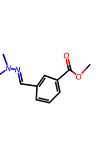 COC(=O)c1cccc(/C=N/N(C)C)c1